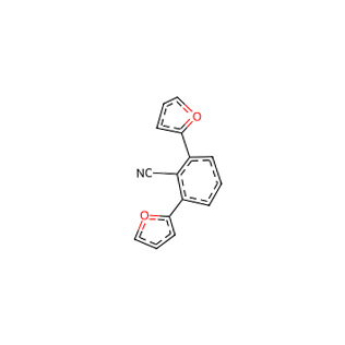 N#Cc1c(-c2ccco2)cccc1-c1ccco1